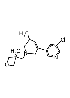 C[C@H]1C=C(c2cncc(Cl)c2)CN(CC2(C)COC2)C1